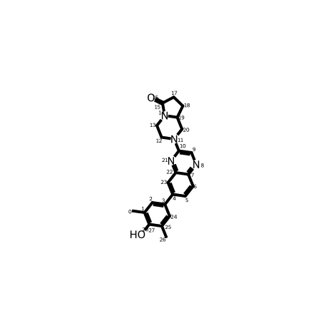 Cc1cc(-c2ccc3ncc(N4CCN5C(=O)CCC5C4)nc3c2)cc(C)c1O